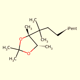 CCC[C@H](C)CCC(C)(C)[C@@]1(C)OC(C)(C)O[C@H]1C